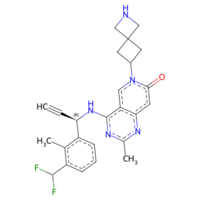 C#C[C@@H](Nc1nc(C)nc2cc(=O)n(C3CC4(CNC4)C3)cc12)c1cccc(C(F)F)c1C